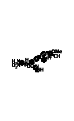 C#Cc1ccc(CN2CCN(C3CC4(CCN(c5ccc(C(=O)NSc6ccc(N)c([N+](=O)[O-])c6)c(Oc6cnc7[nH]ccc7c6)c5)CC4)C3)C(c3ccccc3C(C)C)C2)cc1OC